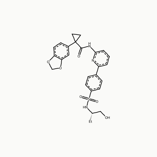 CC[C@@H](CO)NS(=O)(=O)c1ccc(-c2cccc(NC(=O)C3(c4ccc5c(c4)OCO5)CC3)n2)cc1